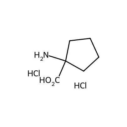 Cl.Cl.NC1(C(=O)O)CCCC1